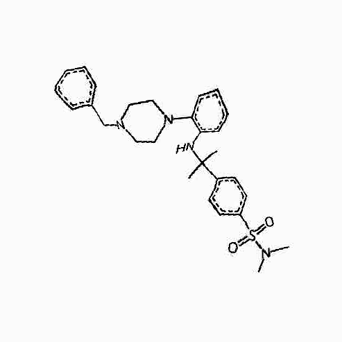 CN(C)S(=O)(=O)c1ccc(C(C)(C)Nc2ccccc2N2CCN(Cc3ccccc3)CC2)cc1